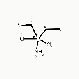 CCP(N)(Cl)(Cl)CC